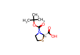 CC(C)(C)OC(=O)N1CCS[C@H]1C(=O)O